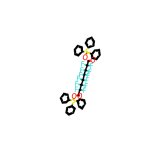 O=C(OS(c1ccccc1)(c1ccccc1)c1ccccc1)C(F)(F)C(F)(F)C(F)(F)C(F)(F)C(F)(F)C(F)(F)C(=O)OS(c1ccccc1)(c1ccccc1)c1ccccc1